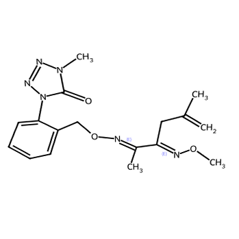 C=C(C)CC(=N\OC)/C(C)=N/OCc1ccccc1-n1nnn(C)c1=O